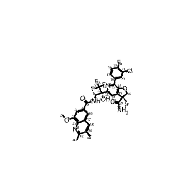 COc1cc(C(=O)NC[C@](O)(c2cc3c(c(-c4ccc(F)c(Cl)c4)n2)OC[C@]3(C)C(N)=O)C(F)(F)F)cc2cc(C)c(C)nc12